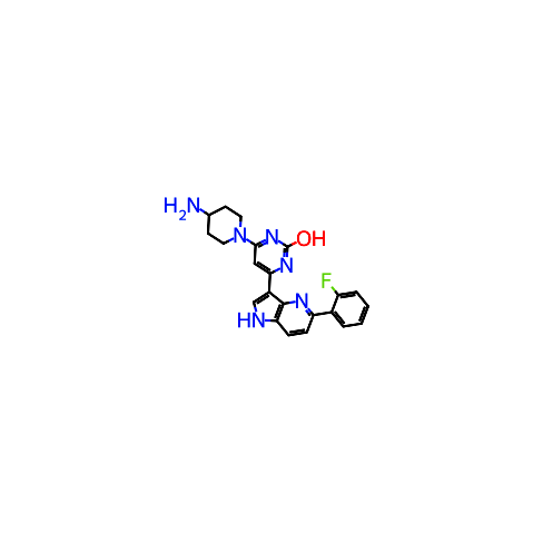 NC1CCN(c2cc(-c3c[nH]c4ccc(-c5ccccc5F)nc34)nc(O)n2)CC1